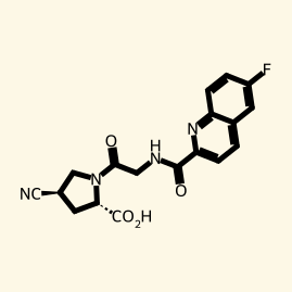 N#C[C@@H]1C[C@@H](C(=O)O)N(C(=O)CNC(=O)c2ccc3cc(F)ccc3n2)C1